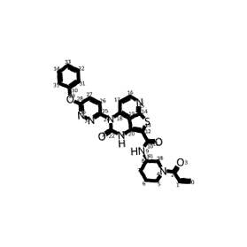 C=CC(=O)N1CCC[C@@H](NC(=O)c2sc3nccc4c3c2NC(=O)N4c2ccc(Oc3ccccc3)nn2)C1